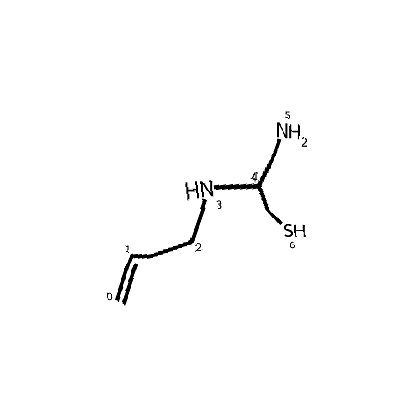 C=CCNC(N)S